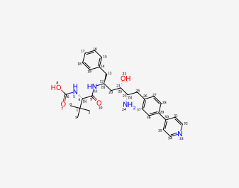 CC(C)(C)[C@H](NC(=O)O)C(=O)N[C@@H](Cc1ccccc1)C[C@H](O)[C@@H](N)Cc1ccc(-c2ccncc2)cc1